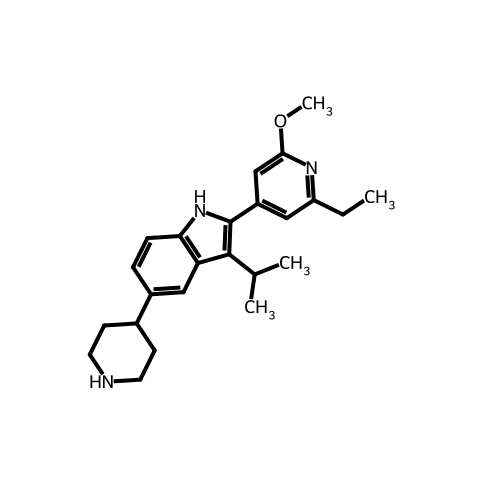 CCc1cc(-c2[nH]c3ccc(C4CCNCC4)cc3c2C(C)C)cc(OC)n1